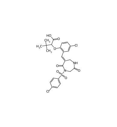 CC(C)(C)C(Oc1ccc(Cl)cc1C=C1CNC(=O)CN(S(=O)(=O)c2ccc(Cl)cc2)C1=O)C(=O)O